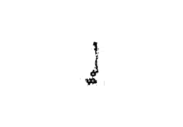 CN1Cc2c(Cl)cc(Cl)cc2C(c2ccc3c(c2)C(=O)N(CCOCCOCCNC(=O)NC2CCC2)C3)C1